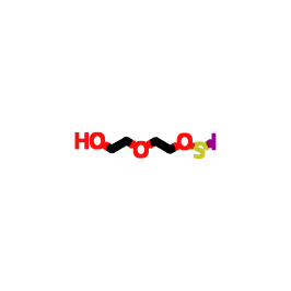 OCCOCCOSI